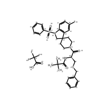 CC(C)(N)C(=O)N[C@H](COCc1ccccc1)C(=O)N1CCC2(CC1)CN(S(=O)(=O)c1ccccc1)c1ccc(F)cc12.O=C(O)C(F)(F)F